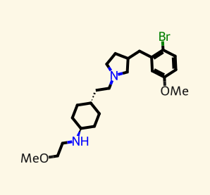 COCCN[C@H]1CC[C@H](CCN2CCC(Cc3cc(OC)ccc3Br)C2)CC1